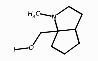 CN1CCC2CCCC21COI